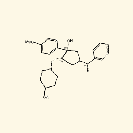 COc1ccc([C@@]2(O)CN([C@H](C)c3ccccc3)C[C@@H]2CN2CCC(O)CC2)cc1